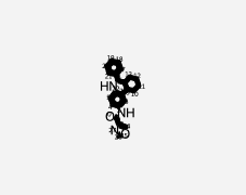 O=C(Nc1ccc2c(c1)C1CCCCC1C(c1ccccc1)N2)c1cocn1